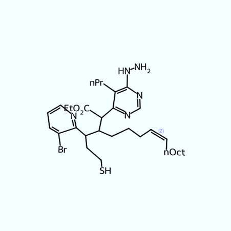 CCCCCCCC/C=C\CCCC(C(CCS)c1ncccc1Br)C(C(=O)OCC)c1ncnc(NN)c1CCC